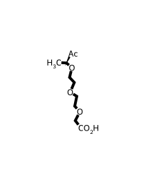 CC(=O)[C@H](C)OCCOCCOCC(=O)O